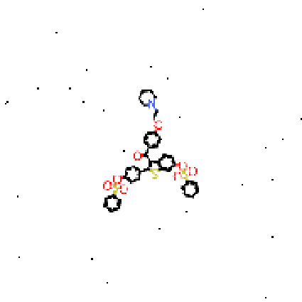 O=C(c1ccc(OCCN2CCCCC2)cc1)c1c(-c2ccc(OS(=O)(=O)c3ccccc3)cc2)sc2cc(OS(=O)(=O)c3ccccc3)ccc12